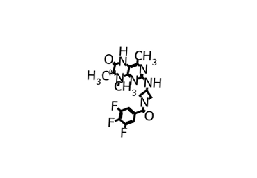 Cc1nc(NC2CN(C(=O)c3cc(F)c(F)c(F)c3)C2)nc2c1NC(=O)[C@H](C)N2C